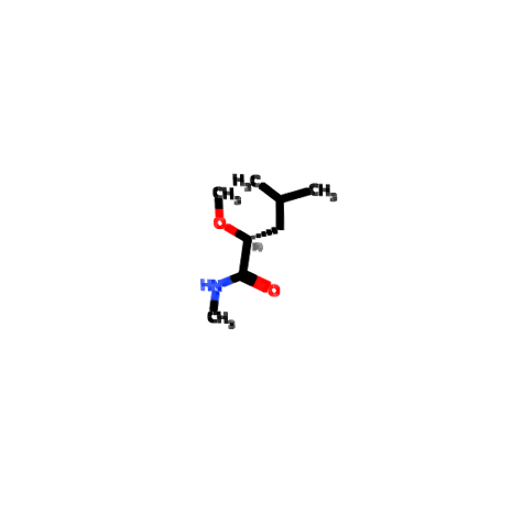 CNC(=O)[C@@H](CC(C)C)OC